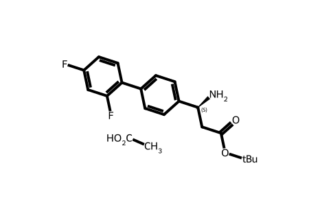 CC(=O)O.CC(C)(C)OC(=O)C[C@H](N)c1ccc(-c2ccc(F)cc2F)cc1